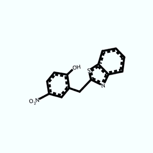 O=[N+]([O-])c1ccc(O)c(Cc2nc3ccccc3s2)c1